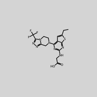 CCc1cc2c(N3CCn4c(nnc4C(F)(F)F)C3)nc(NCC(=O)O)nc2s1